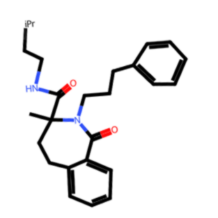 CC(C)CCNC(=O)C1(C)CCc2ccccc2C(=O)N1CCCc1ccccc1